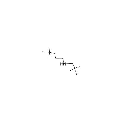 CC(C)(C)CCCNCC(C)(C)C